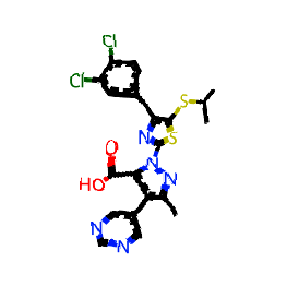 Cc1nn(-c2nc(-c3ccc(Cl)c(Cl)c3)c(SC(C)C)s2)c(C(=O)O)c1-c1cncnc1